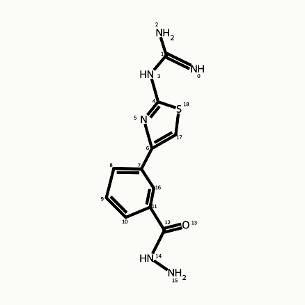 N=C(N)Nc1nc(-c2cccc(C(=O)NN)c2)cs1